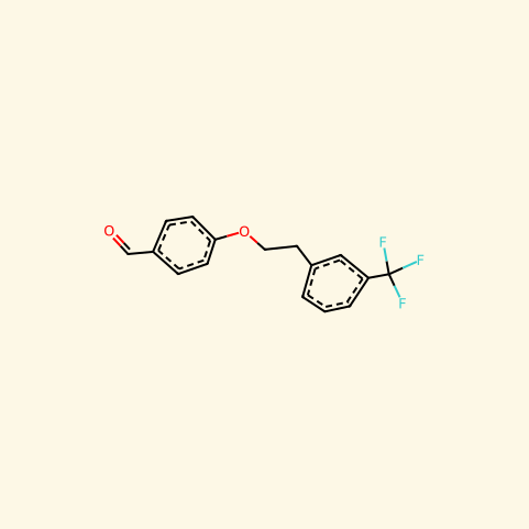 O=Cc1ccc(OCCc2cccc(C(F)(F)F)c2)cc1